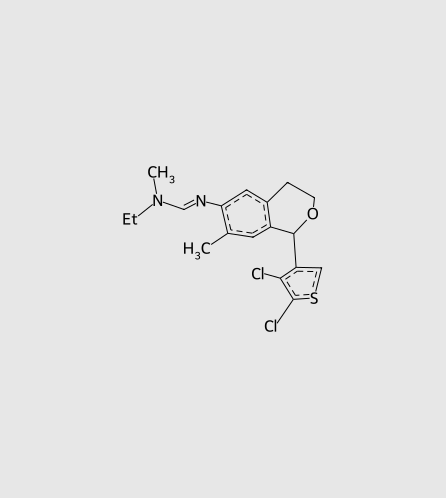 CCN(C)/C=N/c1cc2c(cc1C)C(c1csc(Cl)c1Cl)OCC2